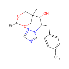 CCC1OCC(C)(C(O)C(Cc2ccc(C(F)(F)F)cc2)n2cncn2)CO1